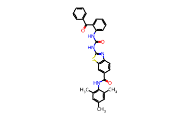 Cc1cc(C)c(NC(=O)c2ccc3nc(NC(=O)Nc4ccccc4C(=O)c4ccccc4)sc3c2)c(C)c1